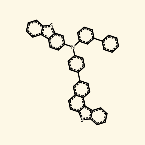 c1ccc(-c2cccc(N(c3ccc(-c4ccc5c(ccc6sc7ccccc7c65)c4)cc3)c3ccc4c(c3)sc3ccccc34)c2)cc1